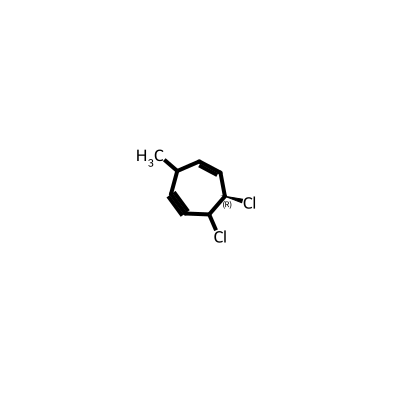 CC1C#CC(Cl)[C@H](Cl)C=C1